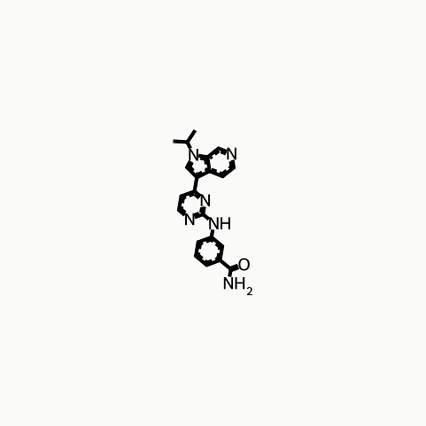 CC(C)n1cc(-c2ccnc(Nc3cccc(C(N)=O)c3)n2)c2ccncc21